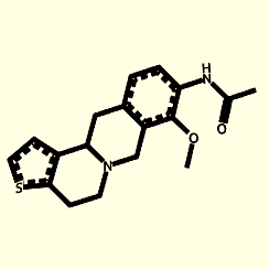 COc1c(NC(C)=O)ccc2c1CN1CCc3sccc3C1C2